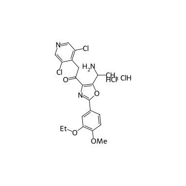 CCOc1cc(-c2nc(C(=O)Cc3c(Cl)cncc3Cl)c(C(C)N)o2)ccc1OC.Cl.Cl